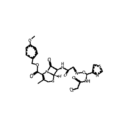 COc1ccc(COC(=O)C2=C(C)CS[C@H]3[C@H](NC(=O)C=NOC(NC(=O)CCl)c4cscn4)C(=O)N23)cc1